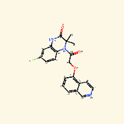 CC1(C)C(=O)Nc2cc(F)ccc2N1C(=O)COc1cccc2cnccc12